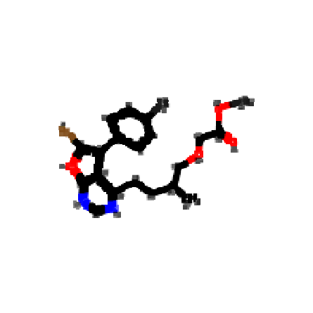 CCc1ccc(-c2c(Br)oc3ncnc(CC[C@H](C)COCC(=O)OC(C)(C)C)c23)cc1